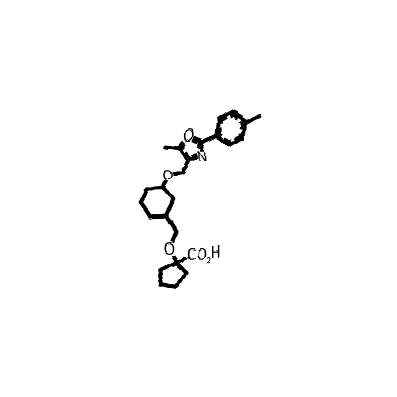 Cc1ccc(-c2nc(COC3CCCC(COC4(C(=O)O)CCCC4)C3)c(C)o2)cc1